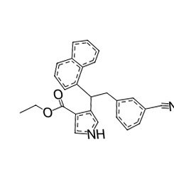 CCOC(=O)c1c[nH]cc1C(Cc1cccc(C#N)c1)c1cccc2ccccc12